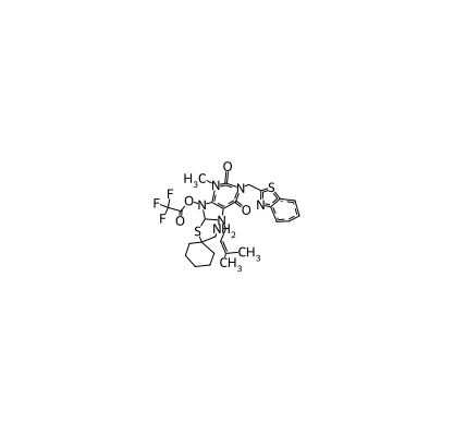 CC(C)=CCN1c2c(n(C)c(=O)n(Cc3nc4ccccc4s3)c2=O)N(OC(=O)C(F)(F)F)C1SC1(CN)CCCCC1